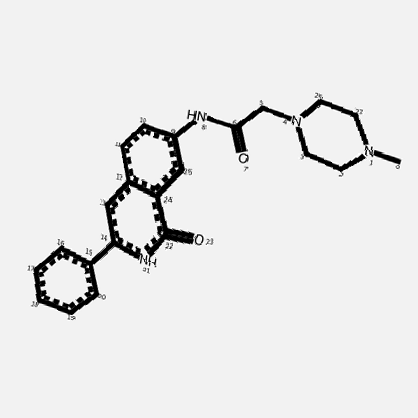 CN1CCN(CC(=O)Nc2ccc3cc(-c4ccccc4)[nH]c(=O)c3c2)CC1